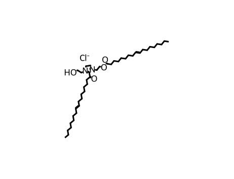 CCCCCCCCC=CCCCCCCCC(=O)OCCN1CC[N+](CCO)=C1C(=O)CCCCCCCC=CCCCCCCCC.[Cl-]